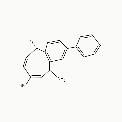 CC(C)C1=C/C(N)c2cc(-c3ccccc3)ccc2[C@@H](C)/C=C\1